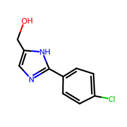 OCc1cnc(-c2ccc(Cl)cc2)[nH]1